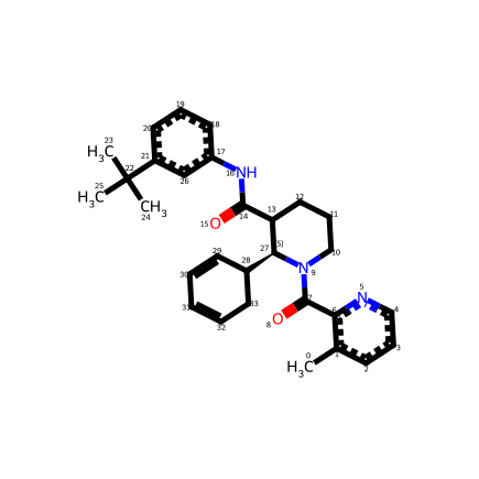 Cc1cccnc1C(=O)N1CCCC(C(=O)Nc2cccc(C(C)(C)C)c2)[C@@H]1C1C=CC=CC1